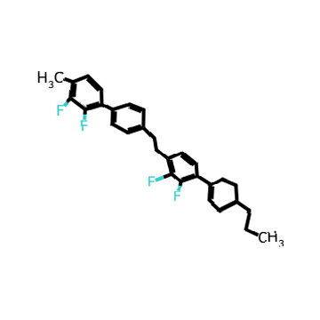 CCCC1CC=C(c2ccc(CCc3ccc(-c4ccc(C)c(F)c4F)cc3)c(F)c2F)CC1